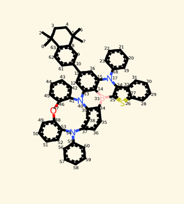 CC1(C)CCC(C)(C)c2cc(-c3cc4c5c(c3)N(c3ccccc3)c3c(sc6ccccc36)B5c3ccc5cc3N4c3ccccc3Oc3ccccc3N5c3ccccc3)ccc21